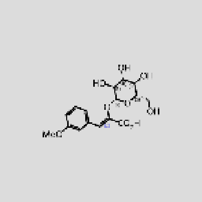 COc1cccc(/C=C(\O[C@H]2O[C@@H](CO)[C@H](O)[C@@H](O)[C@@H]2O)C(=O)O)c1